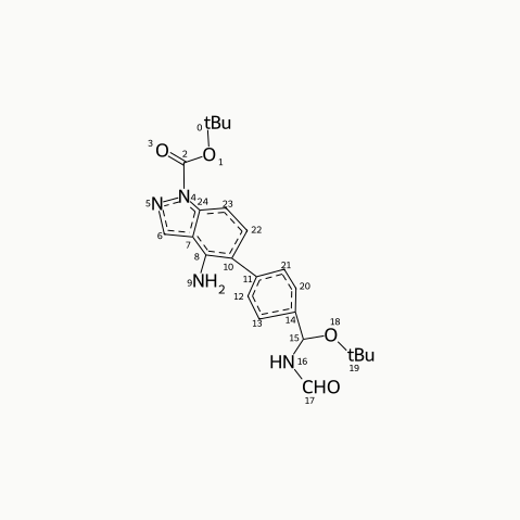 CC(C)(C)OC(=O)n1ncc2c(N)c(-c3ccc(C(NC=O)OC(C)(C)C)cc3)ccc21